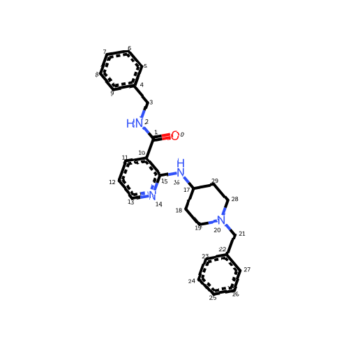 O=C(NCc1ccccc1)c1cccnc1NC1CCN(Cc2ccccc2)CC1